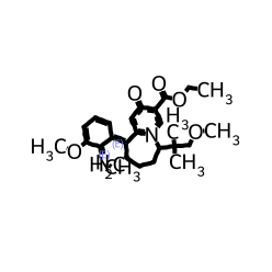 C=C1CCC(C(C)(C)COC)n2cc(C(=O)OCC)c(=O)cc2/C1=C1\C=CC=C(OC)\C1=N\C